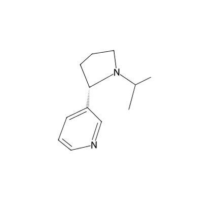 CC(C)N1CCC[C@H]1c1cccnc1